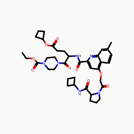 CCOC(=O)N1CCN(C(=O)C(CCC(=O)OC2CCC2)NC(=O)c2cc(OCC(=O)N3CCCC3C(=O)NC3CCC3)c3ccc(C)cc3n2)CC1